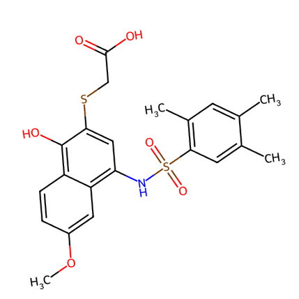 COc1ccc2c(O)c(SCC(=O)O)cc(NS(=O)(=O)c3cc(C)c(C)cc3C)c2c1